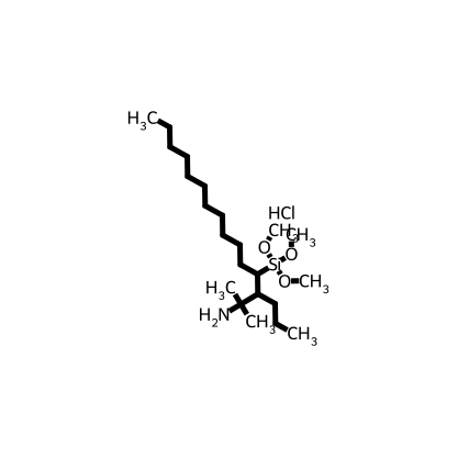 CCCCCCCCCCCC(C(CCC)C(C)(C)N)[Si](OC)(OC)OC.Cl